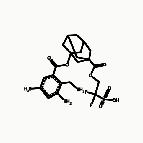 BCc1c(B)cc(B)cc1C(=O)OC12CC3CC(C1)CC(C(=O)OCC(F)(F)S(=O)(=O)O)(C3)C2